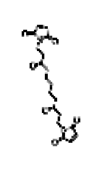 O=C(CCCCCC(=O)CCN1C(=O)C=CC1=O)CCN1C(=O)C=CC1=O